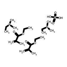 C=C(C)C(=O)OCC.C=C(C)C(=O)OCC.CCN(C)C.CCN(C)C.O=S(=O)(O)O